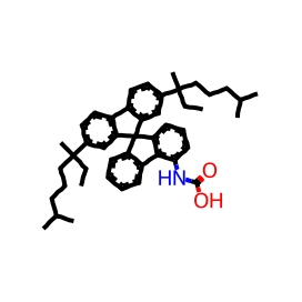 CCC(C)(CCCC(C)C)c1ccc2c(c1)C1(c3cc(C(C)(CC)CCCC(C)C)ccc3-2)c2ccccc2-c2c(NC(=O)O)cccc21